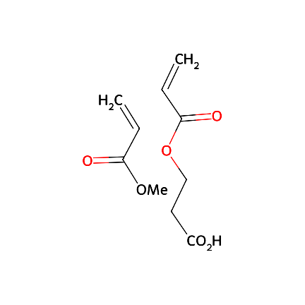 C=CC(=O)OC.C=CC(=O)OCCC(=O)O